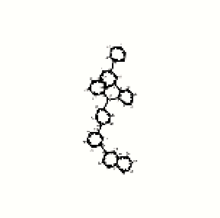 c1ccc(-c2cccc(-c3ccccc3N(c3ccccc3)c3ccc(-c4cccc(-c5ccc6ccccc6c5)c4)cc3)c2)cc1